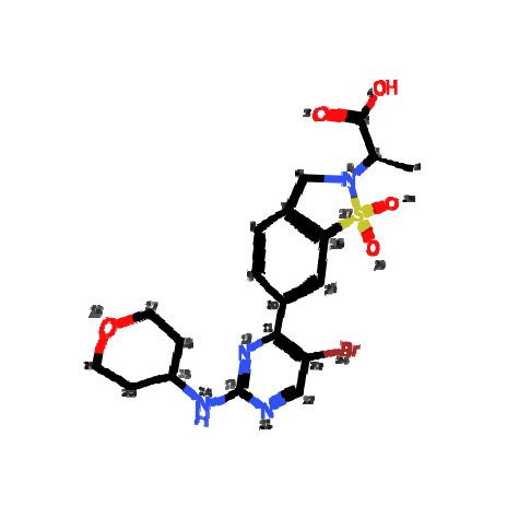 C[C@H](C(=O)O)N1Cc2ccc(-c3nc(NC4CCOCC4)ncc3Br)cc2S1(=O)=O